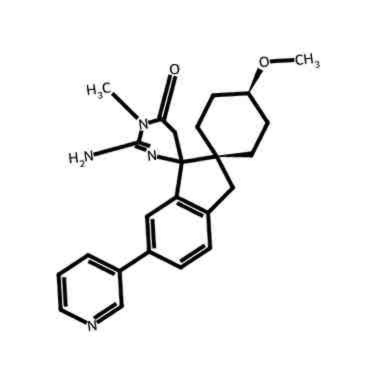 CO[C@H]1CC[C@@]2(CC1)Cc1ccc(-c3cccnc3)cc1C21CC(=O)N(C)C(N)=N1